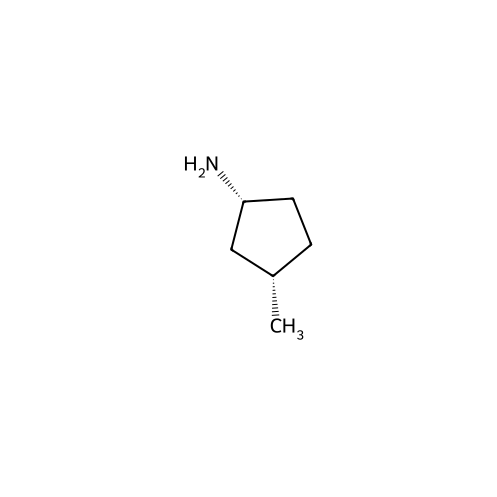 C[C@H]1CC[C@@H](N)C1